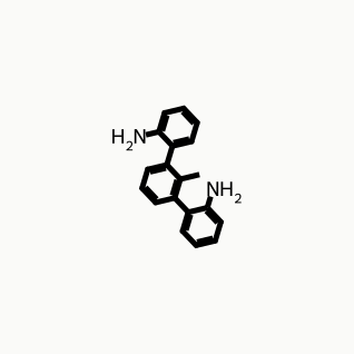 Cc1c(-c2ccccc2N)cccc1-c1ccccc1N